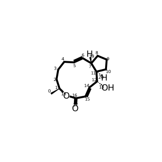 C[C@H]1CCC/C=C/[C@@H]2CCC[C@H]2[C@H](O)/C=C/C(=O)O1